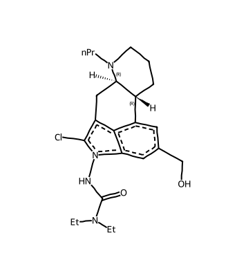 CCCN1CCC[C@@H]2c3cc(CO)cc4c3c(c(Cl)n4NC(=O)N(CC)CC)C[C@H]21